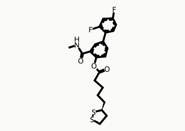 CNC(=O)c1cc(-c2ccc(F)cc2F)ccc1OC(=O)CCCC[C@H]1CCSS1